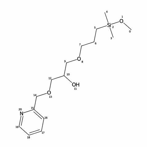 CO[Si](C)(C)CCCOCC(O)COCc1ccccn1